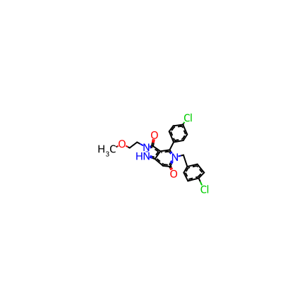 COCCn1[nH]c2cc(=O)n(Cc3ccc(Cl)cc3)c(-c3ccc(Cl)cc3)c2c1=O